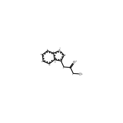 O=C(CCl)Cc1csc2ccccc12